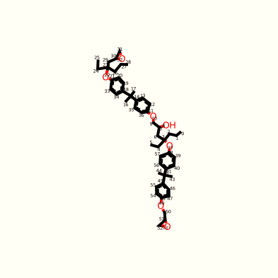 CCCC(CC)(CC(O)COc1ccc(C(C)(C)c2ccc(OC(CC)(CCC)CC3CO3)cc2)cc1)Oc1ccc(C(C)(C)c2ccc(OCC3CO3)cc2)cc1